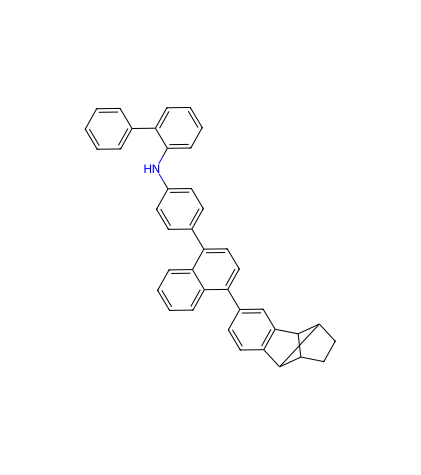 c1ccc(-c2ccccc2Nc2ccc(-c3ccc(-c4ccc5c(c4)C4C6CCC4C56)c4ccccc34)cc2)cc1